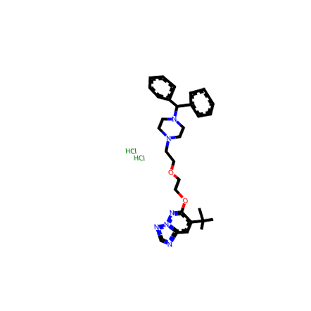 CC(C)(C)c1cc2ncnn2nc1OCCOCCN1CCN(C(c2ccccc2)c2ccccc2)CC1.Cl.Cl